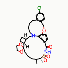 C[C@@H]1[C@@H](C)CCCC2(OCCO2)[C@@H]2CC[C@H]2CN2CCCCc3cc(Cl)ccc3COc3ccc(cc32)C(=O)NS1(=O)=O